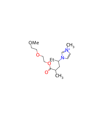 CCC(CC(C)C(=O)OCCOCCOC)n1cc[n+](C)c1